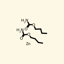 CCCCOC(N)=O.CCCCOC(N)=O.[Zn]